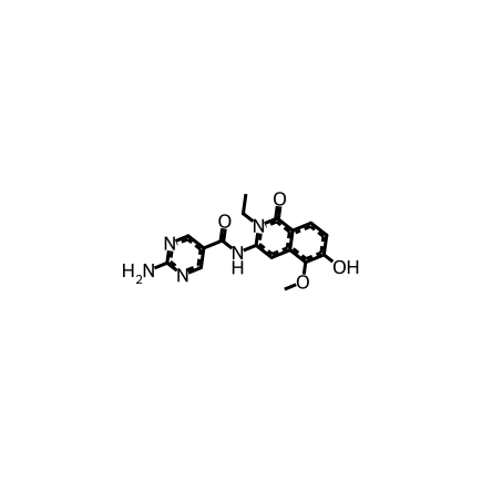 CCn1c(NC(=O)c2cnc(N)nc2)cc2c(OC)c(O)ccc2c1=O